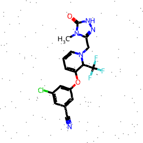 Cn1c(CN2C=CC=C(Oc3cc(Cl)cc(C#N)c3)C2C(F)(F)F)n[nH]c1=O